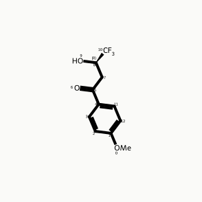 COc1ccc(C(=O)C[C@@H](O)C(F)(F)F)cc1